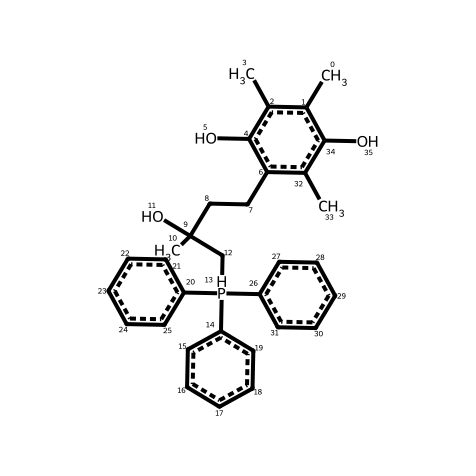 Cc1c(C)c(O)c(CCC(C)(O)C[PH](c2ccccc2)(c2ccccc2)c2ccccc2)c(C)c1O